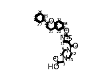 O=C(O)CN1CCN(C(=O)c2cnc(Oc3ccc4c(c3)CC[C@@H](c3ccccc3)O4)s2)CC1